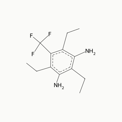 CCc1c(N)c(CC)c(C(F)(F)F)c(CC)c1N